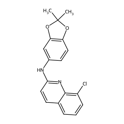 CC1(C)Oc2ccc(Nc3ccc4cccc(Cl)c4n3)cc2O1